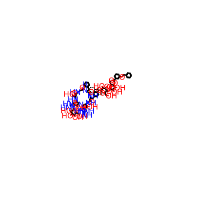 CC(c1ccccc1)C1NC(=O)CNC(=O)C(CO)NC(=O)C(C(O)C2CNC(=N)N2C2OC(CO)C(O)C(O)C2O)NC(=O)C(C(O)C2CNC(=N)N2)NC(=O)C(Cc2ccc(OC3OC(CO)C(OC4OC5COC(c6cccc(OCc7ccccc7)c6)OC5C(O)C4O)C(O)C3O)cc2)NC1=O